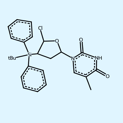 Cc1cn(C2CC([Si](c3ccccc3)(c3ccccc3)C(C)(C)C)C(Cl)O2)c(=O)[nH]c1=O